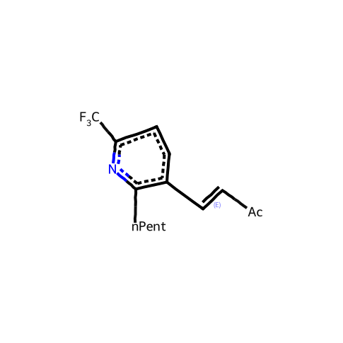 CCCCCc1nc(C(F)(F)F)ccc1/C=C/C(C)=O